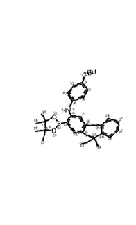 CC(C)(C)c1ccc(Nc2cc3c(cc2B2OC(C)(C)C(C)(C)O2)C(C)(C)c2ccccc2-3)cc1